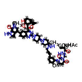 COc1ccc(C#CCNC2(C)CCN(C3CCN(c4nc([C@@](CO)(OC5CC5)c5ccccc5)c5cc(-c6cn(C)c(=O)c7[nH]ccc67)ccc5n4)CC3)CC2)cc1N1CCC(=O)N(CNC(=O)[C@H](CC(=O)O)NC(C)=O)C1=O